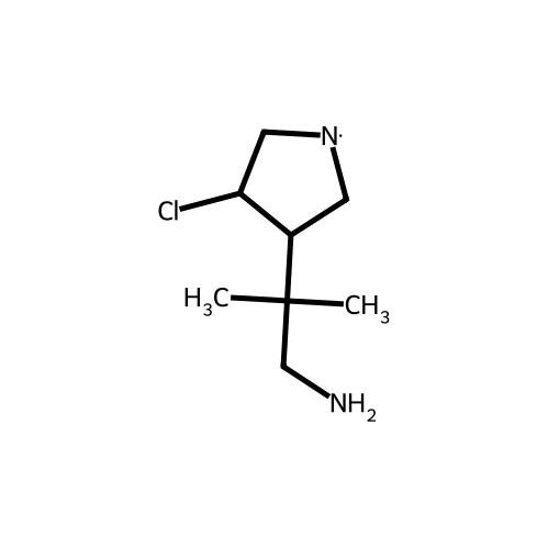 CC(C)(CN)C1C[N]CC1Cl